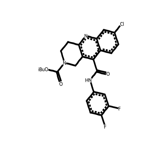 CC(C)COC(=O)N1CCc2nc3cc(Cl)ccc3c(C(=O)Nc3ccc(F)c(F)c3)c2C1